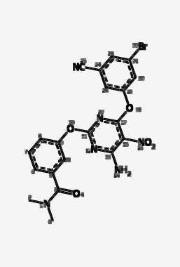 CN(C)C(=O)c1cccc(Oc2nc(N)c([N+](=O)[O-])c(Oc3cc(Br)cc(C#N)c3)n2)c1